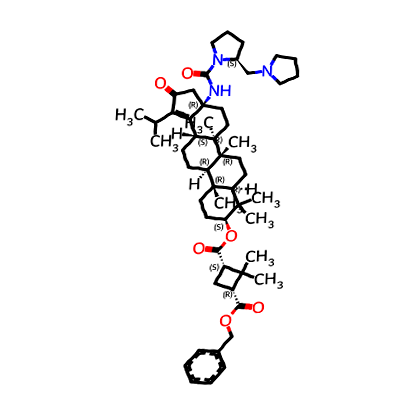 CC(C)C1=C2[C@H]3CC[C@@H]4[C@@]5(C)CC[C@H](OC(=O)[C@H]6C[C@@H](C(=O)OCc7ccccc7)C6(C)C)C(C)(C)[C@@H]5CC[C@@]4(C)[C@]3(C)CC[C@@]2(NC(=O)N2CCC[C@H]2CN2CCCC2)CC1=O